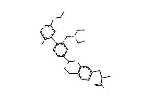 CCOc1cc(-c2ccc(C3CCc4ccc(CC(C)C(=O)O)cc4O3)cc2CN(CC)CC)c(Cl)cn1